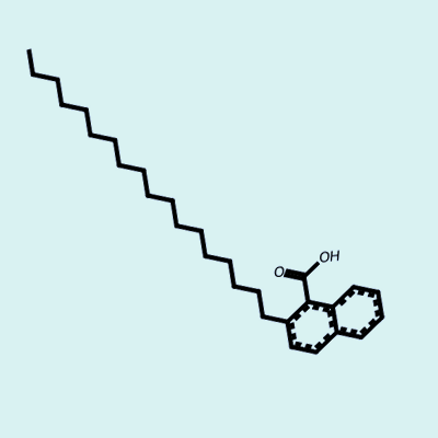 CCCCCCCCCCCCCCCCCCc1ccc2ccccc2c1C(=O)O